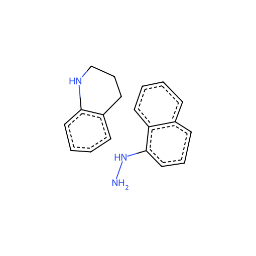 NNc1cccc2ccccc12.c1ccc2c(c1)CCCN2